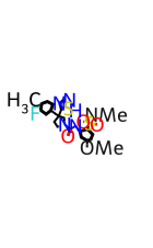 CNS(=O)(=O)c1ccc(OC)cc1NC(=O)N1CCC(c2ccc(C)c(F)c2)(c2ncns2)C1